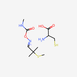 CNC(=O)O/N=C/C(C)(C)SC.NC(CS)C(=O)O